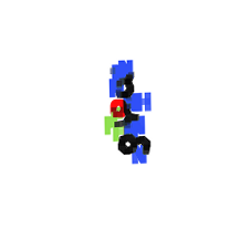 Cn1ncc2cc(NC(=O)c3cnn(-c4cccc5ncccc45)c3C(F)(F)F)cnc21